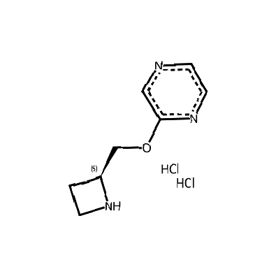 Cl.Cl.c1cnc(OC[C@@H]2CCN2)cn1